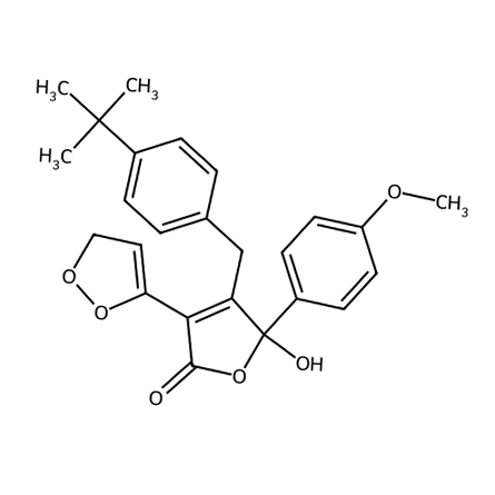 COc1ccc(C2(O)OC(=O)C(C3=CCOO3)=C2Cc2ccc(C(C)(C)C)cc2)cc1